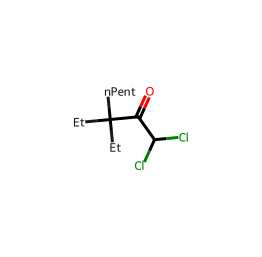 CCCCCC(CC)(CC)C(=O)C(Cl)Cl